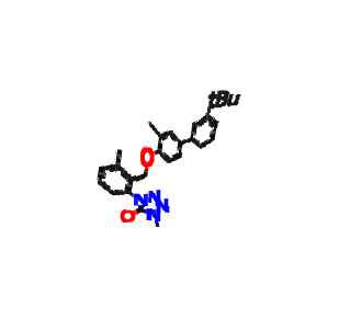 Cc1cc(-c2cccc(C(C)(C)C)c2)ccc1OCc1c(C)cccc1-n1nnn(C)c1=O